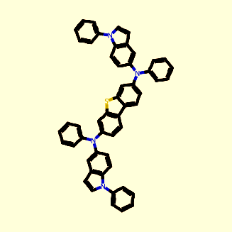 c1ccc(N(c2ccc3c(ccn3-c3ccccc3)c2)c2ccc3c(c2)sc2cc(N(c4ccccc4)c4ccc5c(ccn5-c5ccccc5)c4)ccc23)cc1